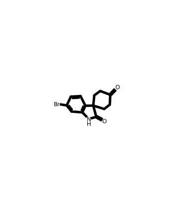 O=C1CCC2(CC1)C(=O)Nc1cc(Br)ccc12